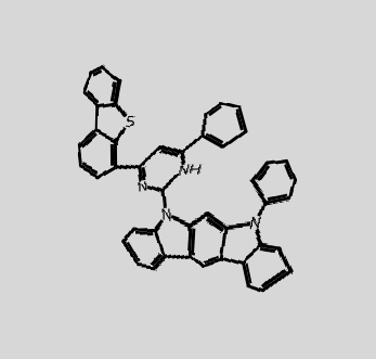 C1=C(c2ccccc2)NC(n2c3ccccc3c3cc4c5ccccc5n(-c5ccccc5)c4cc32)N=C1c1cccc2c1sc1ccccc12